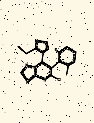 CCc1nccn1-c1c(-c2c(F)cccc2F)c(Cl)nc2ncnn12